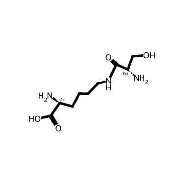 N[C@@H](CCCCNC(=O)[C@@H](N)CO)C(=O)O